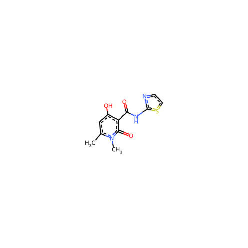 Cc1cc(O)c(C(=O)Nc2nccs2)c(=O)n1C